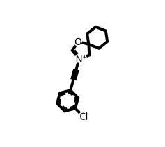 Clc1cccc(C#C[N+]2=COC3(CCCCC3)C2)c1